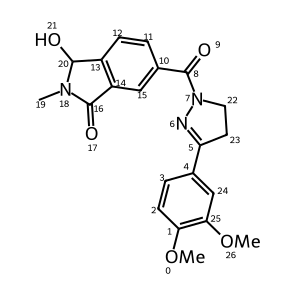 COc1ccc(C2=NN(C(=O)c3ccc4c(c3)C(=O)N(C)C4O)CC2)cc1OC